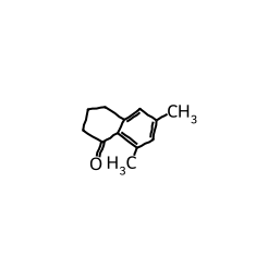 Cc1cc(C)c2c(c1)CCCC2=O